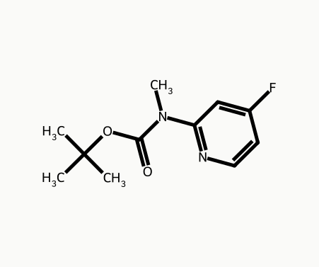 CN(C(=O)OC(C)(C)C)c1cc(F)ccn1